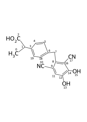 CC(C(=O)O)c1ccc(Cc2c(C#N)cc(O)c(O)c2C#N)cc1